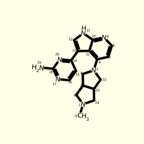 CN1CC2CN(c3ccnc4[nH]cc(-c5ccnc(N)n5)c34)CC2C1